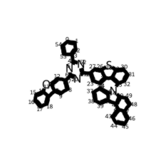 c1ccc(-c2nc(-c3ccc4c(c3)oc3ccccc34)nc(-c3ccc4c(c3)sc3cccc(-n5c6ccccc6c6c7ccccc7ccc65)c34)n2)cc1